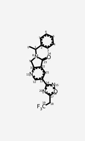 CC(c1ccccc1)N1Cc2ncc(-c3noc(CC(F)(F)F)n3)cc2C1=O